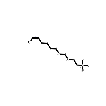 CC/C=C\CCCCOCOCC[Si](C)(C)C